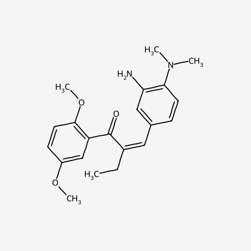 CCC(=Cc1ccc(N(C)C)c(N)c1)C(=O)c1cc(OC)ccc1OC